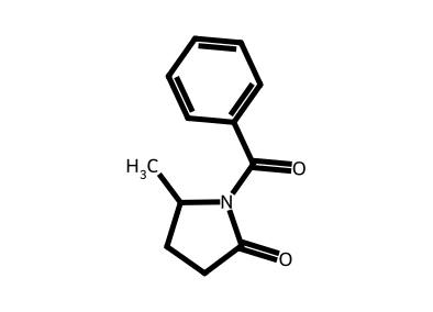 CC1CCC(=O)N1C(=O)c1ccccc1